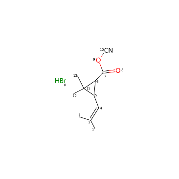 Br.CC(C)=CC1C(C(=O)OC#N)C1(C)C